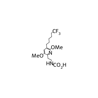 COc1cc(CCCCCC(F)(F)F)c(OC)nc1CCNC(=O)O